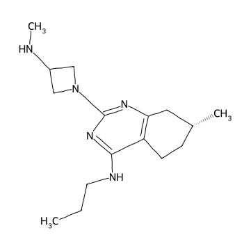 CCCNc1nc(N2CC(NC)C2)nc2c1CC[C@@H](C)C2